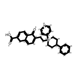 O=C(O)C1=CC=C2C(=O)C(CC[N+]3(c4ccncc4)CCC(c4ccccc4)CC3)=CC=C2C1